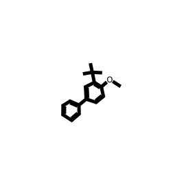 COc1ccc(-c2ccccc2)cc1C(C)(C)C